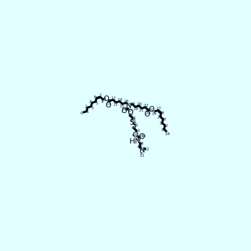 CCCCCC/C=C\COC(=O)CCCCCN(CCCCCC(=O)OC/C=C\CCCCCC)C(=O)OCCSSCCOC(=O)NCCN(C)C